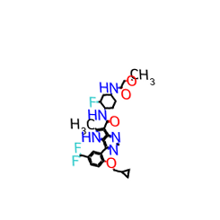 COCC(=O)N[C@H]1CC[C@H](NC(=O)c2c(C)[nH]c3c(-c4cc(C(F)F)ccc4OCC4CC4)ncnc23)C(F)C1